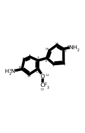 Nc1ccc(-c2ccc(N)cc2OC(F)(F)F)cc1